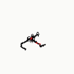 CCCCC/C=C\C/C=C\CCCCCCCCOC(=O)C(CNC(=O)CCCCN=O)NC(=O)CCCCCCC/C=C\C/C=C\CCCCC